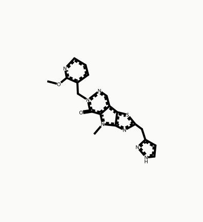 COc1ncccc1Cn1ncc2c3sc(Cc4cc[nH]n4)nc3n(C)c2c1=O